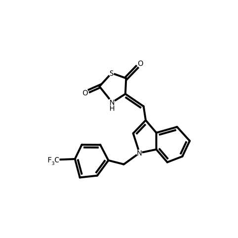 O=C1NC(=Cc2cn(Cc3ccc(C(F)(F)F)cc3)c3ccccc23)C(=O)S1